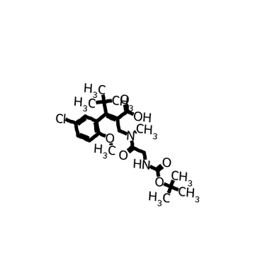 COc1ccc(Cl)cc1/C(=C(\CN(C)C(=O)CNC(=O)OC(C)(C)C)C(=O)O)C(C)(C)C